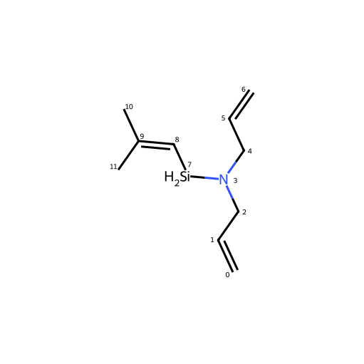 C=CCN(CC=C)[SiH2]C=C(C)C